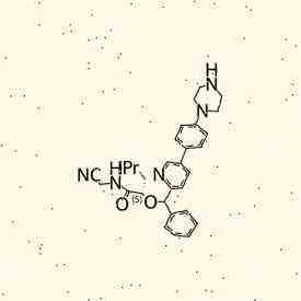 CC(C)C[C@H](OC(c1ccccc1)c1ccc(-c2ccc(N3CCNCC3)cc2)cn1)C(=O)NCC#N